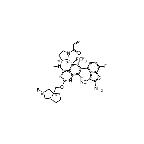 C=CC(=O)N1CC[C@@H](N(C)c2nc(OC[C@@]34CCCN3C[C@H](F)C4)nc3c(F)c(-c4ccc(F)c5sc(N)c(C#N)c45)c(C(F)(F)F)cc23)[C@H]1CF